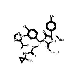 CC(C)(C)C[C@]1(c2ccc(C#N)cc2)N/C(=N\C(=O)O)N([C@H](COC(=O)NC2(C(F)(F)F)CC2)c2ccc(Cl)c(-n3ncnc3C(F)F)c2)C1=O